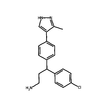 Cc1n[nH]cc1-c1ccc(C(CCN)c2ccc(Cl)cc2)cc1